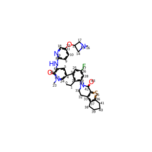 CCc1c(-c2cc(Nc3ccc(OC4CN(C)C4)cn3)c(=O)n(C)c2)cc(F)cc1N1CCc2c(sc3c2CCCC3)C1=O